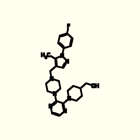 Cc1c(CN2CCN(c3nccnc3N3CCC(CO)CC3)CC2)cnn1-c1ccc(F)cc1